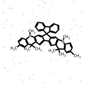 Cc1ccc2c(c1)C(C)(C)c1cc3c(cc1N2C)C1(c2ccccc2-c2ccccc21)c1cc2c(cc1-3)C(C)(C)c1cc(C)ccc1N2C